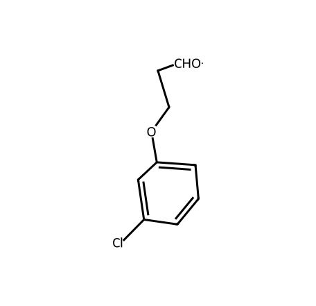 O=[C]CCOc1cccc(Cl)c1